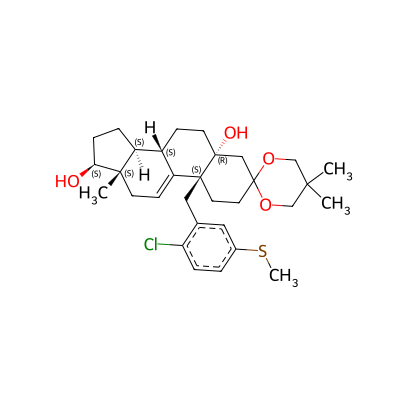 CSc1ccc(Cl)c(C[C@]23CCC4(C[C@]2(O)CC[C@@H]2C3=CC[C@]3(C)[C@@H](O)CC[C@@H]23)OCC(C)(C)CO4)c1